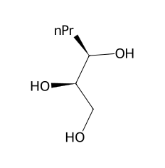 CCC[C@@H](O)[C@H](O)CO